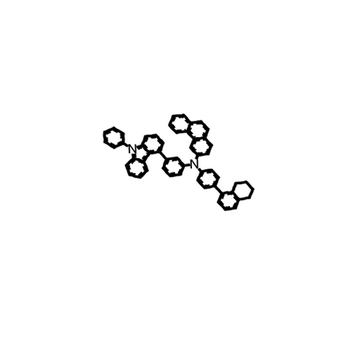 c1ccc(-n2c3ccccc3c3c(-c4cccc(N(c5ccc(-c6cccc7c6CCCC7)cc5)c5ccc6ccc7ccccc7c6c5)c4)cccc32)cc1